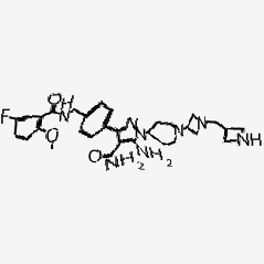 COc1ccc(F)cc1C(=O)NCc1ccc(-c2nn(C3CCN(C4CN(CC5CNC5)C4)CC3)c(N)c2C(N)=O)cc1